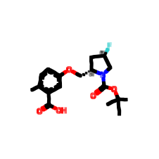 Cc1ccc(OC[C@@H]2C[C@@H](F)CN2C(=O)OC(C)(C)C)cc1C(=O)O